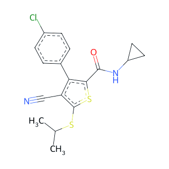 CC(C)Sc1sc(C(=O)NC2CC2)c(-c2ccc(Cl)cc2)c1C#N